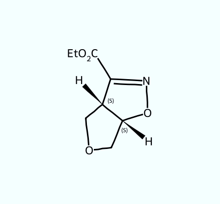 CCOC(=O)C1=NO[C@@H]2COC[C@H]12